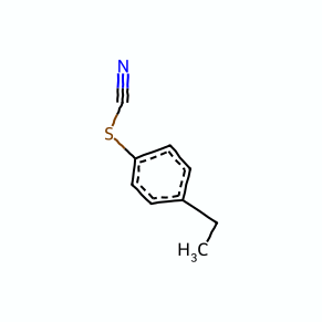 CCc1ccc(SC#N)cc1